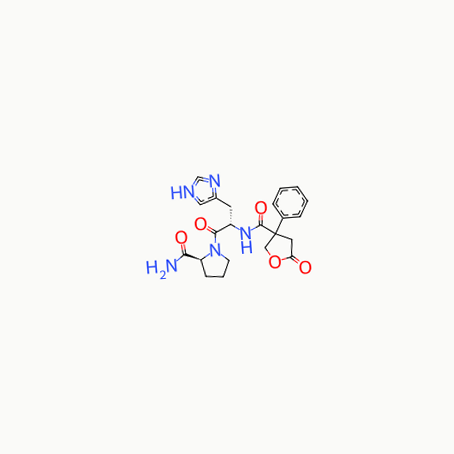 NC(=O)[C@@H]1CCCN1C(=O)[C@H](Cc1c[nH]cn1)NC(=O)C1(c2ccccc2)COC(=O)C1